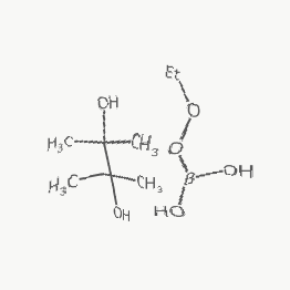 CC(C)(O)C(C)(C)O.CCOOB(O)O